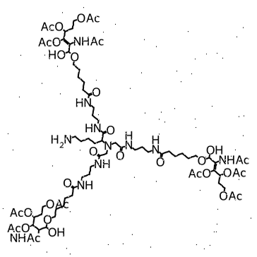 CC(=O)N/C(=C(/OC(C)=O)C(CCOC(C)=O)OC(C)=O)C(O)OCCCCCC(=O)NCCCNC(=O)CN(CC(=O)NCCCNC(=O)CCCCCOC(O)C(NC(C)=O)C(OC(C)=O)C(CCOC(C)=O)OC(C)=O)C(CCCCN)C(=O)NCCCNC(=O)CCCCCOC(O)/C(NC(C)=O)=C(\OC(C)=O)C(CCOC(C)=O)OC(C)=O